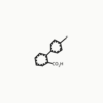 O=C(O)c1[c]cccc1-c1ccc(F)cc1